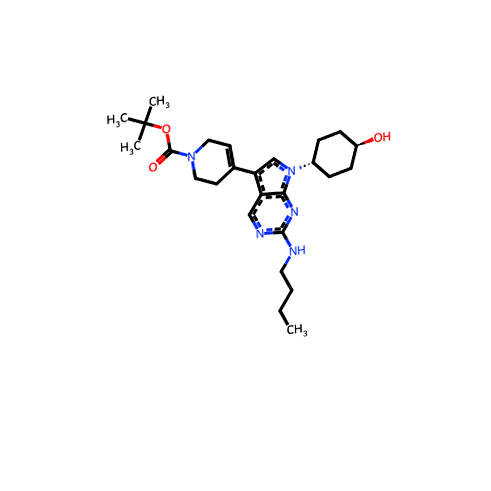 CCCCNc1ncc2c(C3=CCN(C(=O)OC(C)(C)C)CC3)cn([C@H]3CC[C@H](O)CC3)c2n1